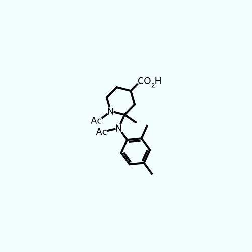 CC(=O)N1CCC(C(=O)O)CC1(C)N(C(C)=O)c1ccc(C)cc1C